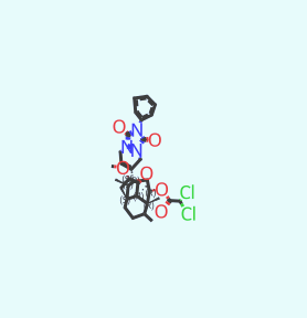 CO[C@H]1C[C@@]23CCC(C)[C@@](C)([C@H](OC(=O)C(Cl)Cl)C[C@@H](C4=CCn5c(=O)n(-c6ccccc6)c(=O)n5C4)[C@@H]2C)[C@]3(C)C1=O